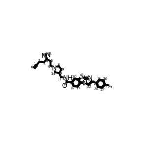 C#CCCC1(CCN2CCC(CNC(=O)c3ccc4c(c3)sc3nc(-c5ccc(C)cc5)cn34)C2)N=N1